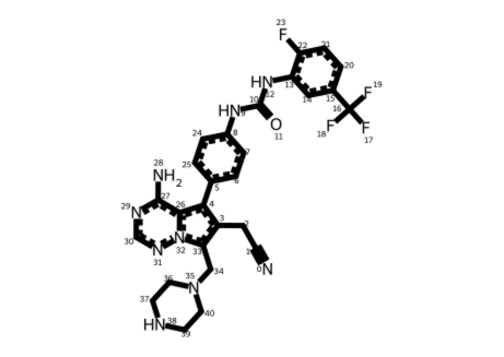 N#CCc1c(-c2ccc(NC(=O)Nc3cc(C(F)(F)F)ccc3F)cc2)c2c(N)ncnn2c1CN1CCNCC1